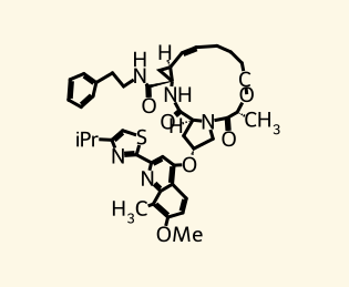 COc1ccc2c(O[C@@H]3C[C@H]4C(=O)N[C@]5(C(=O)NCCc6ccccc6)C[C@H]5/C=C\CCCCO[C@H](C)C(=O)N4C3)cc(-c3nc(C(C)C)cs3)nc2c1C